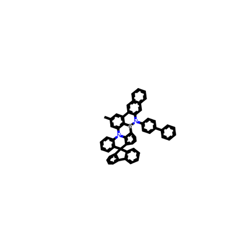 Cc1cc2c3c(c1)N1c4ccccc4C4(c5ccccc5-c5ccccc54)c4cccc(c41)B3N(c1ccc(-c3ccccc3)cc1)c1cc3ccccc3cc1-2